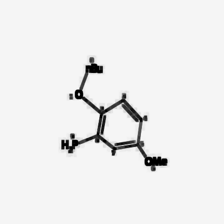 CCCCOc1ccc(OC)cc1P